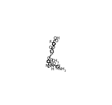 COc1c(OCCCN2CCN(C(=O)Oc3ccc(CC(=O)O)c(F)c3)CC2)ccc2c1N=C(NC(=O)c1cnc(N)nc1)N1CCN=C21